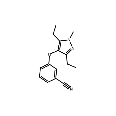 CCc1nn(C)c(CC)c1Oc1cccc(C#N)c1